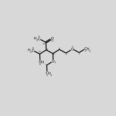 CCOCCC(OCC)C(C(C)=O)C(C)O